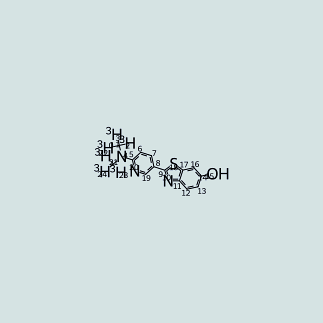 [3H]C([3H])([3H])N(c1ccc(-c2nc3ccc(O)cc3s2)cn1)C([3H])([3H])[3H]